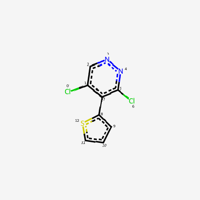 Clc1cnnc(Cl)c1-c1cccs1